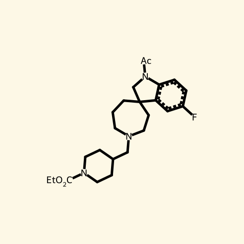 CCOC(=O)N1CCC(CN2CCCC3(CC2)CN(C(C)=O)c2ccc(F)cc23)CC1